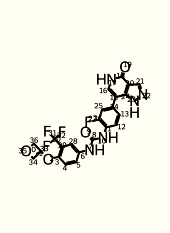 CC1(Oc2ccc(NC(=O)Nc3ccc(-c4c[nH]c(=O)c5cn[nH]c45)cc3F)cc2C(F)(F)F)COC1